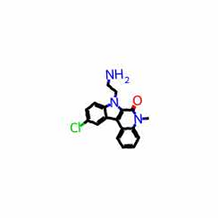 Cn1c(=O)c2c(c3ccccc31)c1cc(Cl)ccc1n2CCN